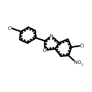 O=[N+]([O-])c1cc2oc(-c3ccc(Cl)cc3)nc2cc1Cl